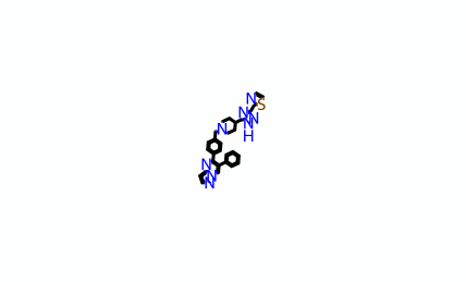 c1ccc(-c2cn3nccc3nc2-c2ccc(CN3CCC(c4nc(-c5nccs5)n[nH]4)CC3)cc2)cc1